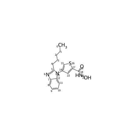 CCCCCc1nc2ccccc2n1-c1csc(C(=O)NO)c1